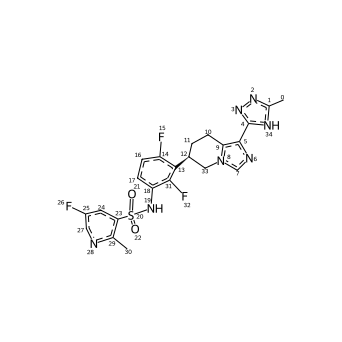 Cc1nnc(-c2ncn3c2CC[C@H](c2c(F)ccc(NS(=O)(=O)c4cc(F)cnc4C)c2F)C3)[nH]1